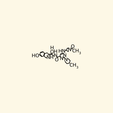 CC(=O)N1CC(Nc2cc(C(=O)NC[C@@H](O)[C@@H]3Cc4ccc(O)cc4CN3)nc(N3CCC(C)CC3)n2)C1